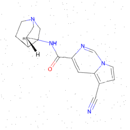 N#Cc1ccn2cnc(C(=O)N[C@H]3CN4CCC3CC4)cc12